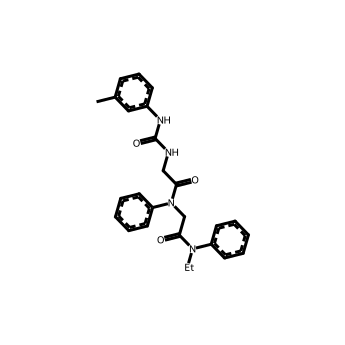 CCN(C(=O)CN(C(=O)CNC(=O)Nc1cccc(C)c1)c1ccccc1)c1ccccc1